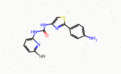 CCCc1cccc(NC(=O)Nc2csc(-c3ccc(N)cc3)n2)n1